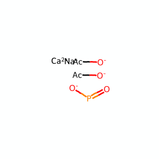 CC(=O)[O-].CC(=O)[O-].O=P[O-].[Ca+2].[Na+]